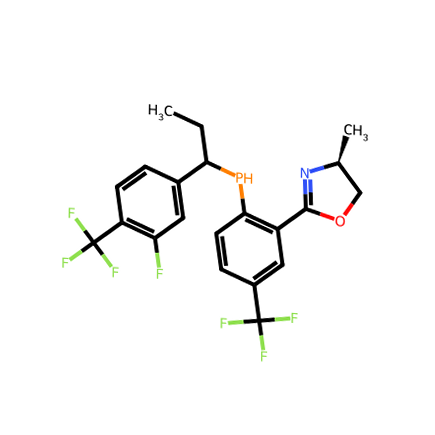 CCC(Pc1ccc(C(F)(F)F)cc1C1=N[C@@H](C)CO1)c1ccc(C(F)(F)F)c(F)c1